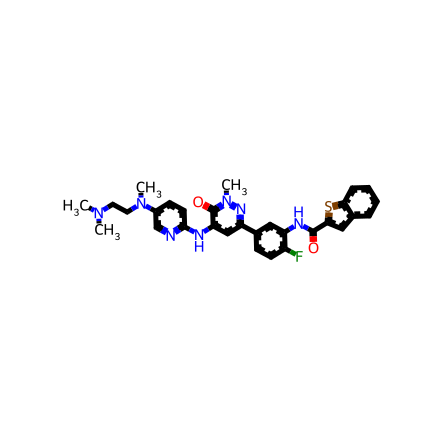 CN(C)CCN(C)c1ccc(Nc2cc(-c3ccc(F)c(NC(=O)c4cc5ccccc5s4)c3)nn(C)c2=O)nc1